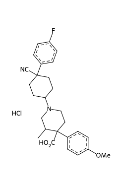 COc1ccc(C2(C(=O)O)CCN(C3CCC(C#N)(c4ccc(F)cc4)CC3)CC2C)cc1.Cl